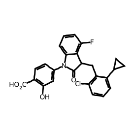 O=C(O)c1ccc(N2C(=O)C(Cc3c(Cl)cccc3C3CC3)c3c(F)cccc32)cc1O